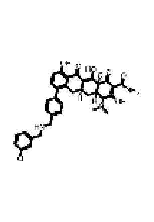 CN(C)[C@@H]1C(O)=C(C(N)=O)C(=O)[C@@]2(O)C(O)=C3C(=O)c4c(O)ccc(-c5ccc(CNCc6cccc(Cl)c6)cc5)c4C[C@H]3C[C@@H]12